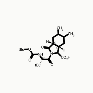 CC1C[C@@H]2C(C(=O)O)N(C(=O)[C@@H](NC(=O)OC(C)(C)C)C(C)(C)C)C(=O)[C@@H]2CC1C